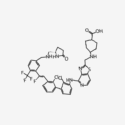 O=C1CC[C@@H](CNCc2ccc(C(F)(F)F)c(/C(F)=C/c3cccc(-c4cccc(Nc5nccc6sc(CNC7CCC(C(=O)O)CC7)nc56)c4Cl)c3Cl)c2)N1